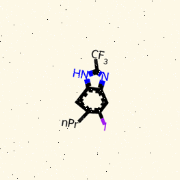 CCCc1cc2[nH]c(C(F)(F)F)nc2cc1I